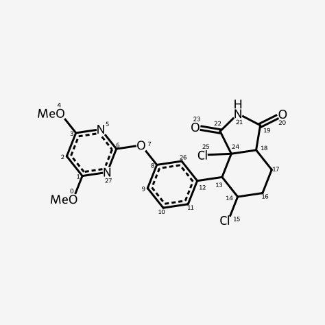 COc1cc(OC)nc(Oc2cccc(C3C(Cl)CCC4C(=O)NC(=O)C43Cl)c2)n1